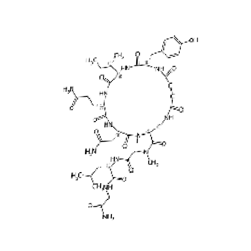 CC[C@H](C)[C@@H]1NC(=O)[C@H](Cc2ccc(O)cc2)NC(=O)CCC(=O)NC[C@@H](C(=O)N(C)CC(=O)N[C@@H](CC(C)C)C(=O)NCC(N)=O)NC(=O)[C@H](CC(N)=O)NC(=O)[C@H](CCC(N)=O)NC1=O